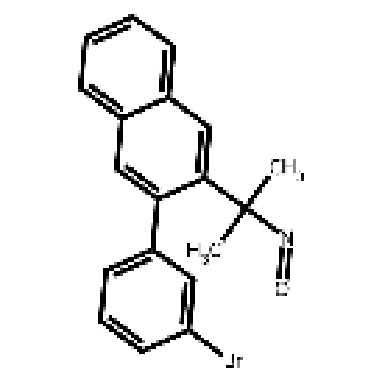 CC(C)(N=O)c1cc2ccccc2cc1-c1cccc(Br)c1